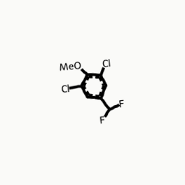 COc1c(Cl)cc(C(F)F)cc1Cl